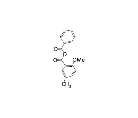 COc1ccc(C)cc1C(=O)OC(=O)c1ccccc1